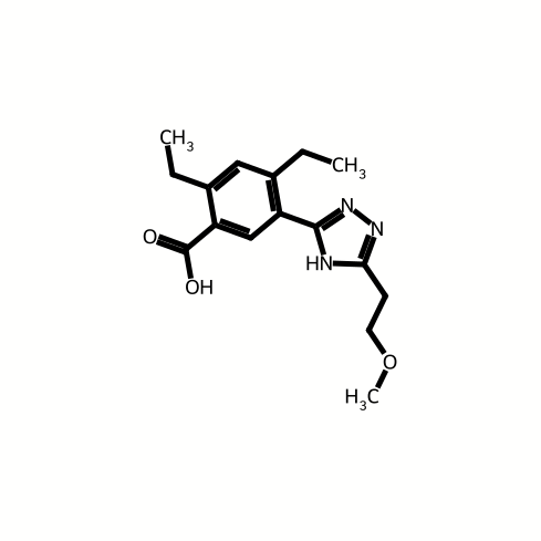 CCc1cc(CC)c(-c2nnc(CCOC)[nH]2)cc1C(=O)O